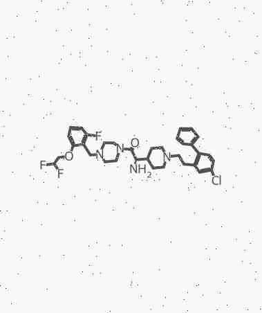 N[C@@H](C(=O)N1CCN(Cc2c(F)cccc2OCC(F)F)CC1)C1CCN(CCc2cc(Cl)ccc2-c2ccccc2)CC1